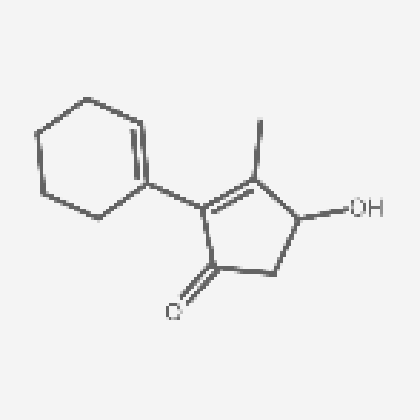 CC1=C(C2=CCCCC2)C(=O)CC1O